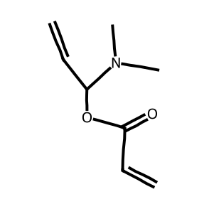 C=CC(=O)OC(C=C)N(C)C